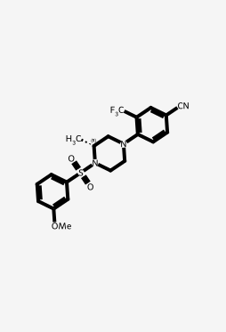 COc1cccc(S(=O)(=O)N2CCN(c3ccc(C#N)cc3C(F)(F)F)C[C@H]2C)c1